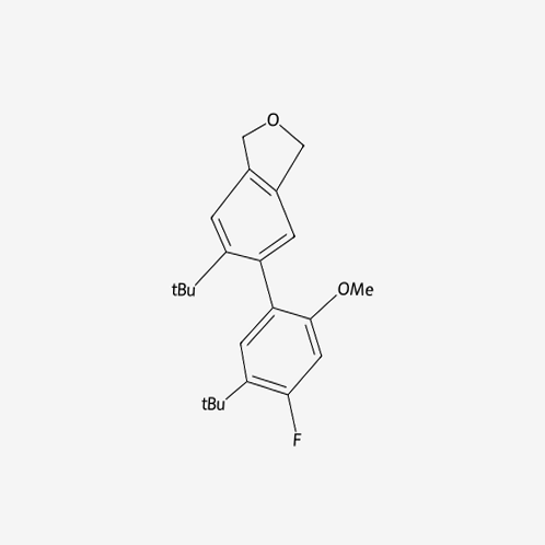 COc1cc(F)c(C(C)(C)C)cc1-c1cc2c(cc1C(C)(C)C)COC2